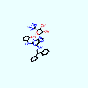 Cn1nnc([C@H]2O[C@@H](n3cnc4c(NCC(c5ccccc5)c5ccccc5)nc(NC5CCC[C@H]5O)nc43)[C@H](O)[C@@H]2O)n1